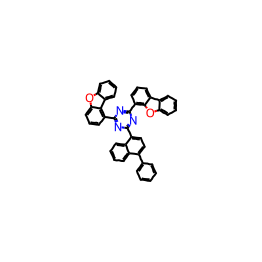 c1ccc(-c2ccc(-c3nc(-c4cccc5c4oc4ccccc45)nc(-c4cccc5oc6ccccc6c45)n3)c3ccccc23)cc1